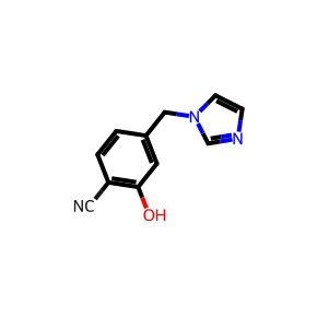 N#Cc1ccc(Cn2ccnc2)cc1O